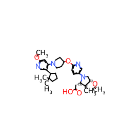 COc1cc(N2CCC(Oc3ccc(N4C[C@H](OC)[C@@H](C)[C@@H]4CC(=O)O)cn3)CC2)c(C2CCCC2(C)C)cn1